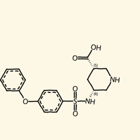 O=C(O)[C@@H]1CNC[C@H](NS(=O)(=O)c2ccc(Oc3ccccc3)cc2)C1